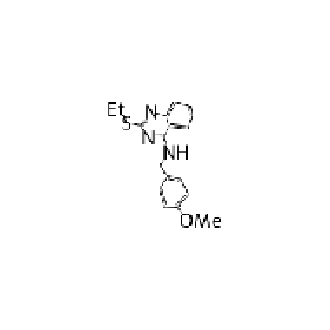 CCSc1nc(NCc2ccc(OC)cc2)c2ccccc2n1